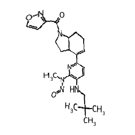 CN(N=O)c1nc(C2=CCCC3C2CCN3C(=O)c2ccon2)ccc1NCC(C)(C)C